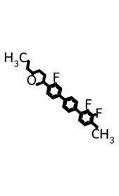 CCCC1CCC(c2ccc(-c3ccc(-c4ccc(CC)c(F)c4F)cc3)cc2F)CO1